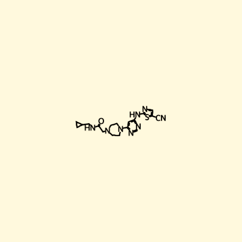 N#Cc1cnc(Nc2cc(N3CCN(CC(=O)NCC4CC4)CC3)ncn2)s1